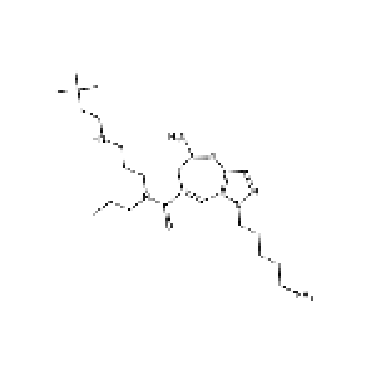 CCCN(CCCNCCC(C)(C)C)C(=O)C1=Cc2c(cnn2CCCCCN)N=C(N)C1